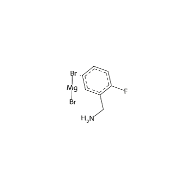 NCc1c[c]ccc1F.[Br][Mg][Br]